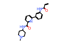 C=CC(=O)Nc1cccc(-c2cccc(C(=O)NC3CCN(C)CC3)n2)c1